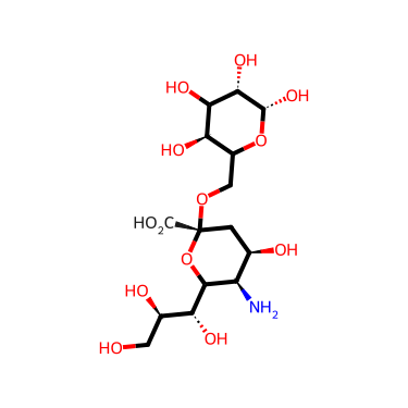 N[C@H]1C([C@H](O)[C@H](O)CO)O[C@@](OCC2O[C@@H](O)[C@@H](O)C(O)[C@@H]2O)(C(=O)O)C[C@H]1O